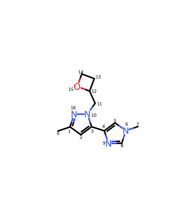 Cc1cc(-c2cn(C)cn2)n(CC2CCO2)n1